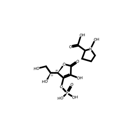 O=C(O)C1CCCN1O.O=C1O[C@H]([C@@H](O)CO)C(OP(=O)(O)O)=C1O